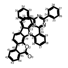 O=c1oc2c(ccc3c4ccccc4n(-c4ccccc4-c4nc(-c5ccccc5)nc(-c5ccccc5)n4)c32)c2ccccc12